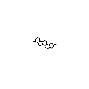 C[C@@]1(CO)CC[C@]2(C(=O)O)CC[C@]3(C)C(=CC[C@@H]4[C@@]5(C)CC[C@H](O)[C@@](C)(CO)C5CC[C@]43C)[C@@H]2C1